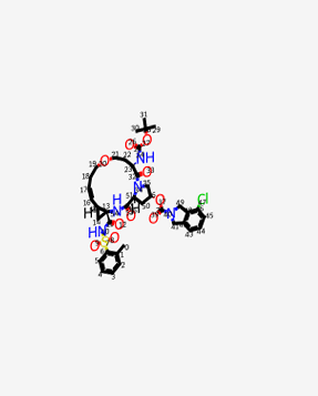 Cc1ccccc1S(=O)(=O)NC(=O)[C@@]12C[C@H]1/C=C\CCOCC[C@H](NC(=O)OC(C)(C)C)C(=O)N1C[C@H](OC(=O)N3Cc4cccc(Cl)c4C3)C[C@H]1C(=O)N2